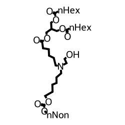 CCCCCCCCCOC(=O)OCCCCCCN(CCO)CCCCCC(=O)OCC(COC(=O)CCCCCC)COC(=O)CCCCCC